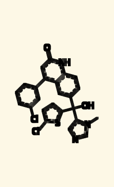 Cn1cncc1C(O)(c1ccc2[nH]c(=O)cc(-c3cccc(Cl)c3)c2c1)c1ccc(Cl)s1